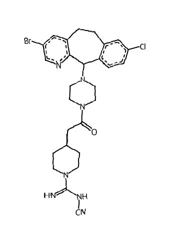 N#CNC(=N)N1CCC(CC(=O)N2CCN(C3c4ccc(Cl)cc4CCc4cc(Br)cnc43)CC2)CC1